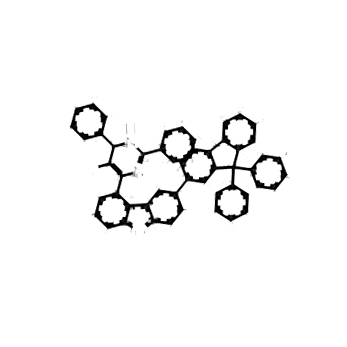 CC1=C(c2cccc3oc4ccc(-c5ccc6c(c5)C(c5ccccc5)(c5ccccc5)c5ccccc5-6)cc4c23)N=C(c2ccccc2)NC1c1ccccc1